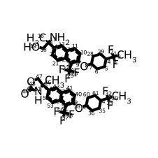 CC(F)(F)C1CCC(Oc2ccc3cc([C@@](C)(N)CO)ccc3c2C(F)(F)F)CC1.CC(F)(F)C1CCC(Oc2ccc3cc([C@]4(C)COC(=O)N4)ccc3c2C(F)(F)F)CC1